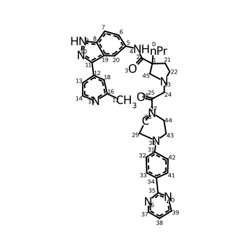 CCCC1(C(=O)Nc2ccc3[nH]nc(-c4ccnc(C)c4)c3c2)CCN(CC(=O)N2CCN(c3ccc(-c4ncccn4)cc3)CC2)C1